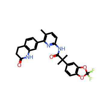 Cc1ccc(NC(=O)C(C)(C)c2ccc3c(c2)OC(F)(F)O3)nc1-c1ccc2c(c1)NC(=O)CC2